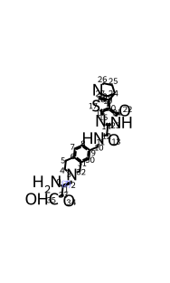 N/C(=C\N1CCc2ccc(CNC(=O)c3nc4sc5c(c4c(=O)[nH]3)C3CCN5CC3)cc2C1)C(=O)C=O